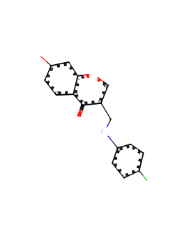 O=c1c(CNc2ccc(Cl)cc2)coc2cc(O)ccc12